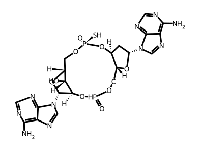 Nc1ncnc2c1ncn2[C@@H]1O[C@@H]2CO[P@@](=O)(S)O[C@H]3C[C@H](n4cnc5c(N)ncnc54)O[C@@H]3CO[PH](=O)O[C@@H]1[C@@H]2O